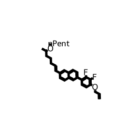 C=CCOc1ccc(-c2ccc3cc(C=CCCCC(C)OCCCCC)ccc3c2)c(F)c1F